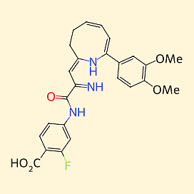 COc1ccc(/C2=C/C=C\CC/C(=C/C(=N)C(=O)Nc3ccc(C(=O)O)c(F)c3)N2)cc1OC